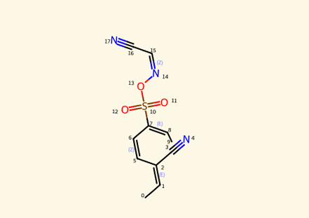 C\C=C(C#N)/C=C\C(=C/C)S(=O)(=O)O/N=C\C#N